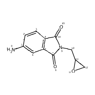 Nc1ccc2c(c1)C(=O)N(CC1CO1)C2=O